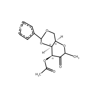 CC(=O)O[C@@H]1C(=O)C(C)O[C@@H]2COC(c3ccccc3)O[C@H]12